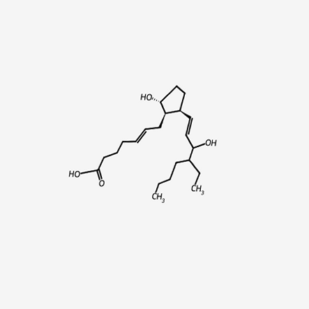 CCCCC(CC)C(O)C=C[C@@H]1CC[C@@H](O)[C@@H]1CC=CCCCC(=O)O